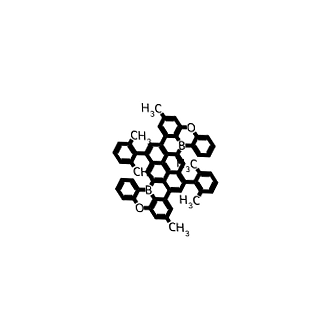 Cc1cc2c3c(c1)-c1cc(-c4c(C)cccc4C)c4cc5c6c(cc(-c7c(C)cccc7C)c7cc(c1c4c76)B3c1ccccc1O2)-c1cc(C)cc2c1B5c1ccccc1O2